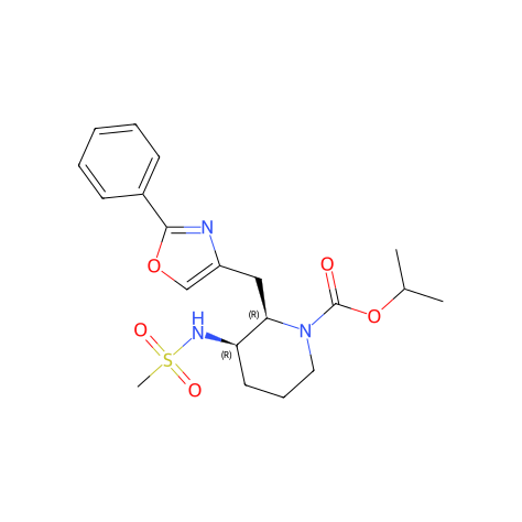 CC(C)OC(=O)N1CCC[C@@H](NS(C)(=O)=O)[C@H]1Cc1coc(-c2ccccc2)n1